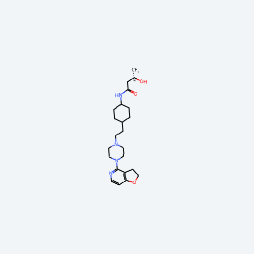 O=C(C[C@@H](O)C(F)(F)F)NC1CCC(CCN2CCN(c3nccc4c3CCO4)CC2)CC1